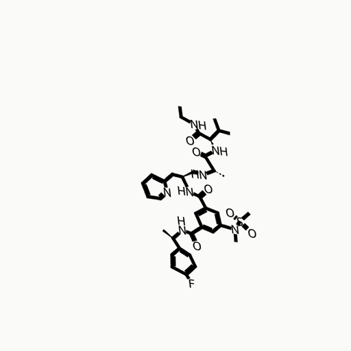 CCNC(=O)[C@@H](NC(=O)[C@H](C)NC[C@H](Cc1ccccn1)NC(=O)c1cc(C(=O)N[C@H](C)c2ccc(F)cc2)cc(N(C)S(C)(=O)=O)c1)C(C)C